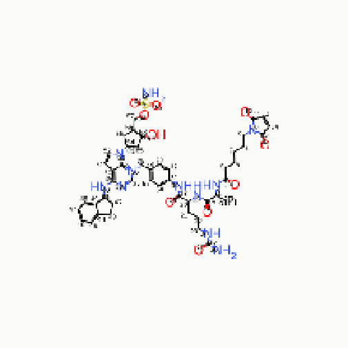 CC(C)C(NC(=O)CCCCCN1C(=O)C=CC1=O)C(=O)NC(CCCNC(N)=O)C(=O)Nc1ccc(C[n+]2cnc(N[C@H]3CCc4ccccc43)c3ccn([C@@H]4C[C@@H](COS(N)(=O)=O)[C@@H](O)C4)c32)cc1